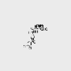 CCCCC[C@H](CN(O)C=O)C(=O)NNC1CCN(C(=O)c2ccc(Cl)c(Cl)c2)CC1